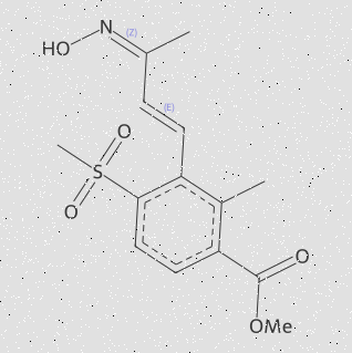 COC(=O)c1ccc(S(C)(=O)=O)c(/C=C/C(C)=N\O)c1C